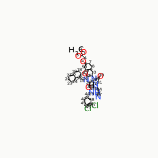 COC(=O)COc1ccc(C[C@H]2C(=O)N(Cc3cccc4ccccc34)C[C@H]3N2C(=O)CN3N(CC#N)C(=O)NCc2ccc(Cl)c(Cl)c2)cc1